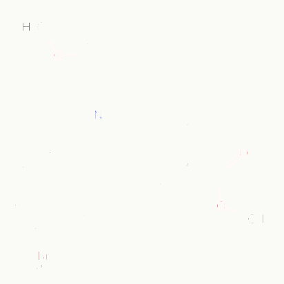 COC(=O)c1ccc2c(c1)c1cccc(OC)c1n2Cc1ccc(Br)cc1